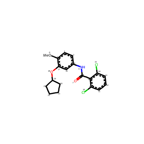 COc1ccc(NC(=O)c2c(Cl)cccc2Cl)cc1OC1CCCC1